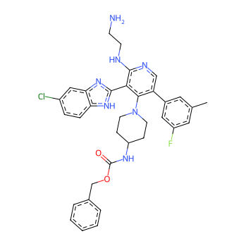 Cc1cc(F)cc(-c2cnc(NCCN)c(-c3nc4cc(Cl)ccc4[nH]3)c2N2CCC(NC(=O)OCc3ccccc3)CC2)c1